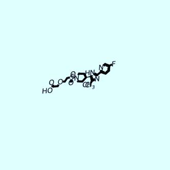 C[C@H]1CN(S(=O)(=O)CCOCC(=O)O)CC[C@H]1c1[nH]c(-c2ccc(F)cn2)nc1Cl